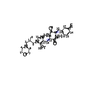 CC(CN1CCOCC1)Cn1cnc(/C=c2\[nH]c(=O)/c(=C/c3cccc(F)c3)[nH]c2=O)c1C(C)C